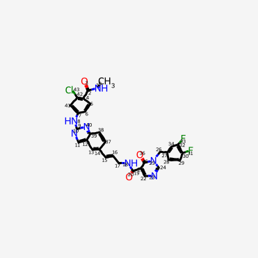 CNC(=O)c1ccc(Nc2ncc3cc(/C=C/CNC(=O)c4cncn(Cc5ccc(F)c(F)c5)c4=O)ccc3n2)cc1Cl